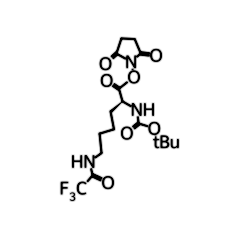 CC(C)(C)OC(=O)N[C@@H](CCCCNC(=O)C(F)(F)F)C(=O)ON1C(=O)CCC1=O